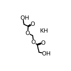 O=C(CO)OCOC(=O)CO.[KH]